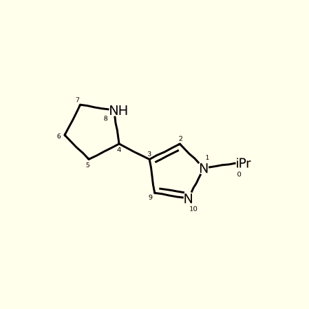 CC(C)n1cc(C2CCCN2)cn1